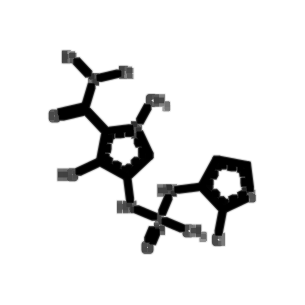 CCN(CC)C(=O)c1c(O)c(N[SH](C)(=O)Nc2ccsc2Cl)cn1C